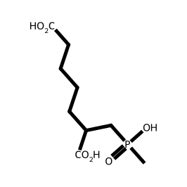 CP(=O)(O)CC(CCCCC(=O)O)C(=O)O